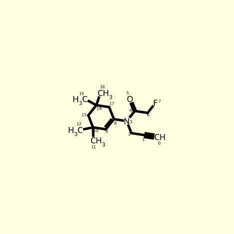 C#CCN(C(=O)CF)C1=CC(C)(C)CC(C)(C)C1